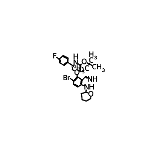 CC(C)(C)OC(=O)N[C@@H](COc1c(Br)ccc(NC2CCCCO2)c1C=N)c1ccc(F)cc1